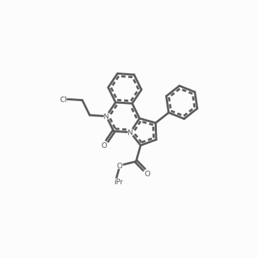 CC(C)OC(=O)c1cc(-c2ccccc2)c2c3ccccc3n(CCCl)c(=O)n12